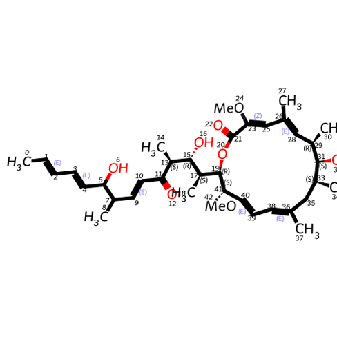 C/C=C/C=C/C(O)C(C)/C=C/C(=O)[C@@H](C)[C@H](O)[C@H](C)[C@H]1OC(=O)/C(OC)=C/C(C)=C/[C@@H](C)[C@@H](O)[C@@H](C)C/C(C)=C/C=C/[C@@H]1OC